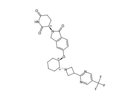 O=C1CC[C@@H](N2Cc3cc(O[C@@H]4CCCC[C@H]4N4CC(c5ncc(C(F)(F)F)cn5)C4)ccc3C2=O)C(=O)N1